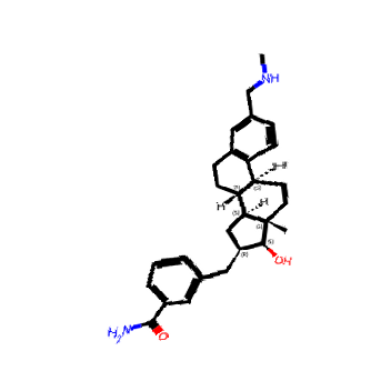 CNCc1ccc2c(c1)CC[C@@H]1[C@@H]2CC[C@]2(C)[C@@H](O)[C@@H](Cc3cccc(C(N)=O)c3)C[C@@H]12